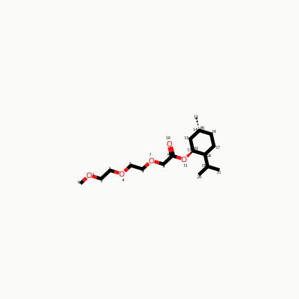 COCCOCCOCC(=O)O[C@H]1C[C@H](C)CCC1C(C)C